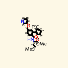 COC(=O)[C@H](CCSC)NC(=O)c1ccc(COc2cccnc2)cc1-c1ccccc1C(F)(F)F